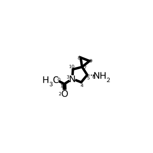 CC(=O)N1C[C@@H](N)C2(CC2)C1